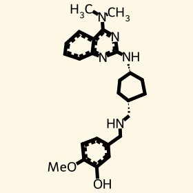 COc1ccc(CNC[C@H]2CC[C@@H](Nc3nc(N(C)C)c4ccccc4n3)CC2)cc1O